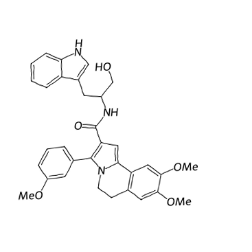 COc1cccc(-c2c(C(=O)NC(CO)Cc3c[nH]c4ccccc34)cc3n2CCc2cc(OC)c(OC)cc2-3)c1